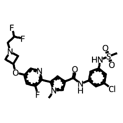 Cn1cc(C(=O)Nc2cc(Cl)cc(NS(C)(=O)=O)c2)cc1-c1ncc(OC2CN(CC(F)F)C2)cc1F